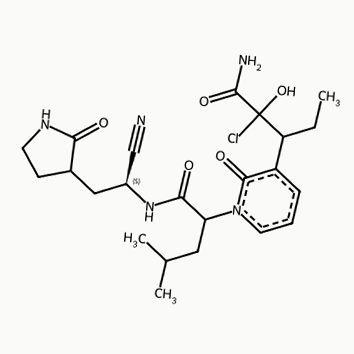 CCC(c1cccn(C(CC(C)C)C(=O)N[C@H](C#N)CC2CCNC2=O)c1=O)C(O)(Cl)C(N)=O